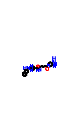 O=C(C/C=C/c1nnc(-c2cnc(NC3Cc4ccccc4C3)nc2)o1)N1CCc2[nH]nnc2C1